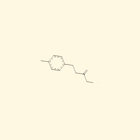 Cc1ccc(CCC(=O)CO)cc1